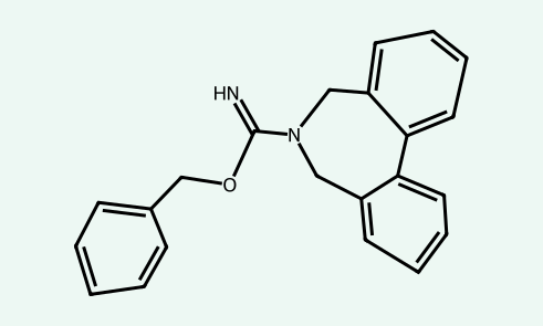 N=C(OCc1ccccc1)N1Cc2ccccc2-c2ccccc2C1